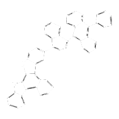 c1ccc(-c2c3ccccc3c(-c3ccc(-c4ccc5sc6c7sc8ccccc8c7c7ccccc7c6c5c4)c4ccccc34)c3ccccc23)cc1